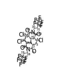 O=C1c2cc(Cl)c3c4c(c(Cl)c(Cl)c(c24)C(=O)N1CCC(F)(F)C(F)(F)F)C(=O)N(CCC(F)(F)C(F)(F)F)C3=O